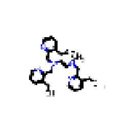 CCc1cccnc1CN(C)C=CN(Cc1ncccc1CC)Cc1ncccc1CC